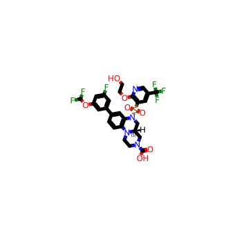 O=C(O)N1CCN2c3ccc(-c4cc(F)cc(OC(F)F)c4)cc3N(S(=O)(=O)c3cc(C(F)(F)F)cnc3OCCO)C[C@@H]2C1